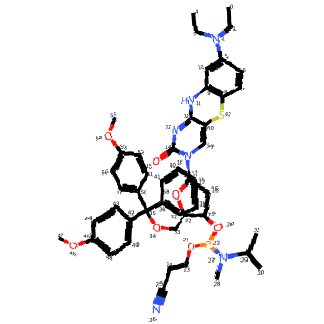 CCN(CC)c1ccc2c(c1)Nc1nc(=O)n([C@H]3CC(OP(OCCC#N)N(C)C(C)C)[C@@H](COC(c4ccccc4)(c4ccc(OC)cc4)c4ccc(OC)cc4)O3)cc1S2